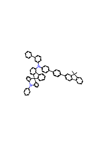 CC1(C)c2ccccc2-c2ccc(-c3ccc(-c4ccc(N(c5cccc(-c6ccccc6)c5)c5cccc6c5-c5ccccc5C65c6ccccc6N(c6ccccc6)c6ccccc65)cc4)cc3)cc21